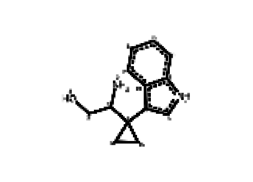 NC(CO)C1(c2c[nH]c3ccccc23)CC1